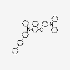 c1ccc(-c2ccc(-c3ccc(N(c4ccccc4)c4ccc5c6c(cccc46)-c4ccc(N(c6ccccc6)c6ccccc6)cc4O5)cc3)cc2)cc1